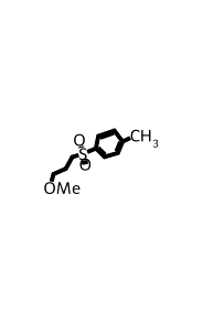 [CH2]OCCCS(=O)(=O)c1ccc(C)cc1